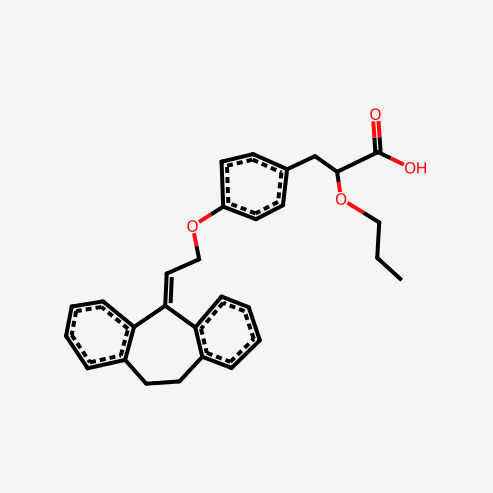 CCCOC(Cc1ccc(OCC=C2c3ccccc3CCc3ccccc32)cc1)C(=O)O